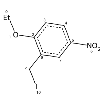 CCOc1ccc([N+](=O)[O-])cc1CI